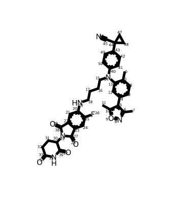 Cc1ccc(-c2c(C)noc2C)cc1N(CCCCNc1cc2c(cc1F)C(=O)N(C1CCC(=O)NC1=O)C2=O)c1ccc(C2(C#N)CC2)cc1